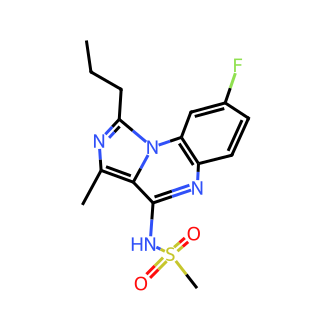 CCCc1nc(C)c2c(NS(C)(=O)=O)nc3ccc(F)cc3n12